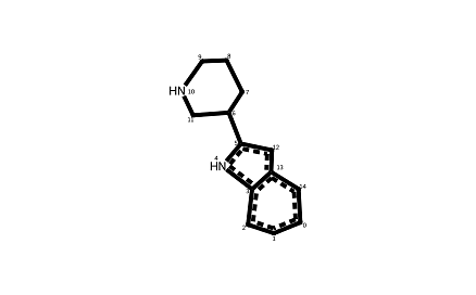 c1ccc2[nH]c(C3CCCNC3)cc2c1